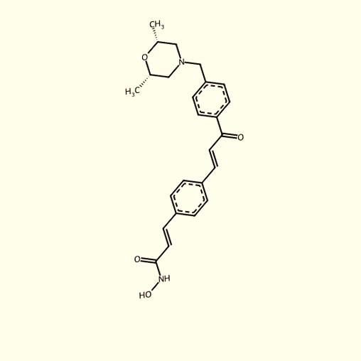 C[C@@H]1CN(Cc2ccc(C(=O)/C=C/c3ccc(/C=C/C(=O)NO)cc3)cc2)C[C@H](C)O1